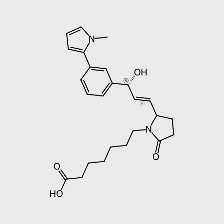 Cn1cccc1-c1cccc([C@H](O)/C=C/C2CCC(=O)N2CCCCCCC(=O)O)c1